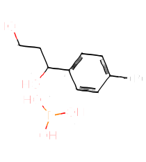 CC(C)(C)c1ccc(C(O)CCO)cc1.OP(O)O